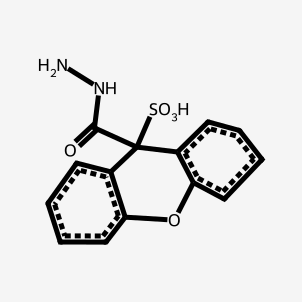 NNC(=O)C1(S(=O)(=O)O)c2ccccc2Oc2ccccc21